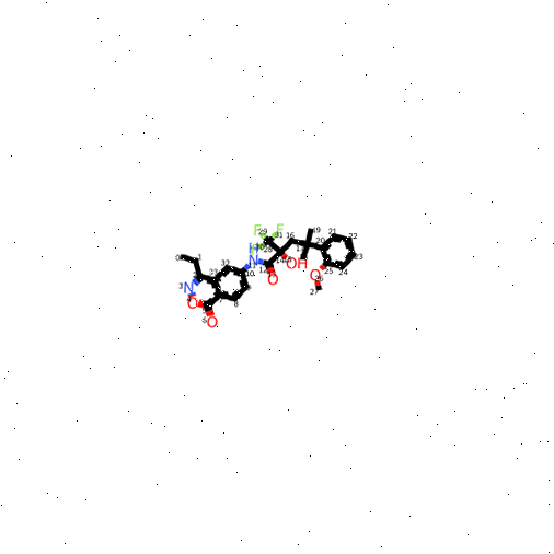 CCc1noc(=O)c2ccc(NC(=O)C(O)(CC(C)(C)c3ccccc3OC)C(F)(F)F)cc12